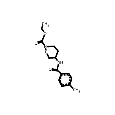 CCOC(=O)N1CCC(NC(=O)c2ccc(C)cc2)CC1